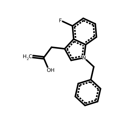 C=C(O)Cc1cn(Cc2ccccc2)c2cccc(F)c12